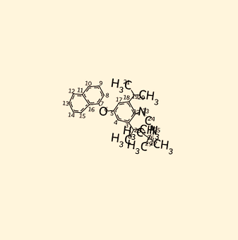 CC(C)c1cc(Oc2cccc3ccccc23)cc(C(C)C)c1N=C=NC(C)(C)C